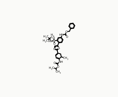 CC(C)OC(=O)NC1=CC=C(c2ncc(-c3ccc(NC(=O)OCc4ccccc4)cc3S(=O)(=O)NC(C)(C)C)s2)CC1C